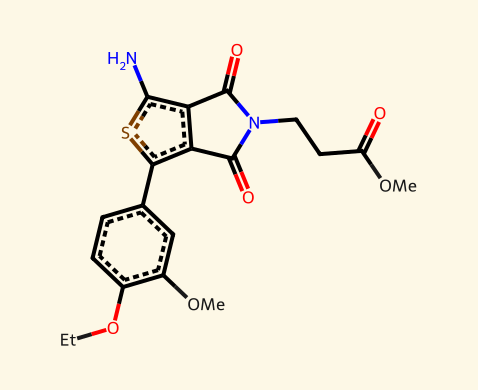 CCOc1ccc(-c2sc(N)c3c2C(=O)N(CCC(=O)OC)C3=O)cc1OC